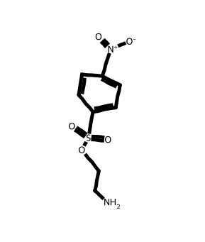 NCCOS(=O)(=O)c1ccc([N+](=O)[O-])cc1